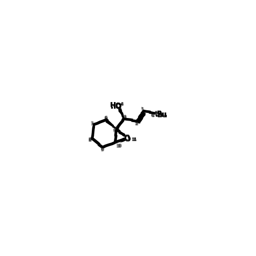 CC(C)(C)/C=C/[C@H](O)[C@@]12CCCCC1O2